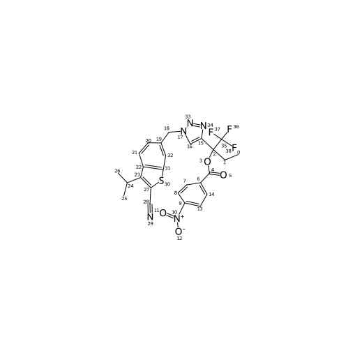 CCC(OC(=O)c1ccc([N+](=O)[O-])cc1)(c1cn(Cc2ccc3c(C(C)C)c(C#N)sc3c2)nn1)C(F)(F)F